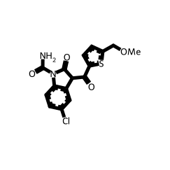 COCc1ccc(C(=O)C2C(=O)N(C(N)=O)c3ccc(Cl)cc32)s1